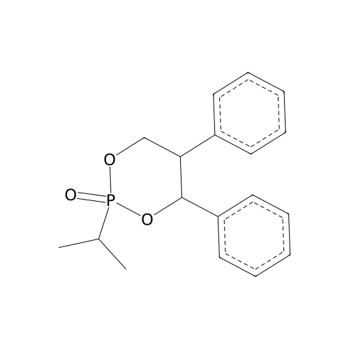 CC(C)P1(=O)OCC(c2ccccc2)C(c2ccccc2)O1